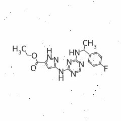 CCOC(=O)c1cc(Nc2ncnc(NC(C)c3ccc(F)cc3)n2)n[nH]1